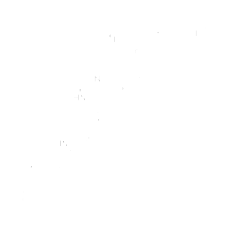 O=C(NCCO)c1cc(-c2ccc(F)cc2F)n[nH]1